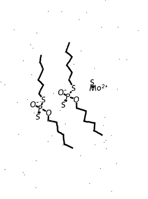 CCCCCCOP([O-])(=S)SCCCCCC.CCCCCCOP([O-])(=S)SCCCCCC.[S]=[Mo+2]